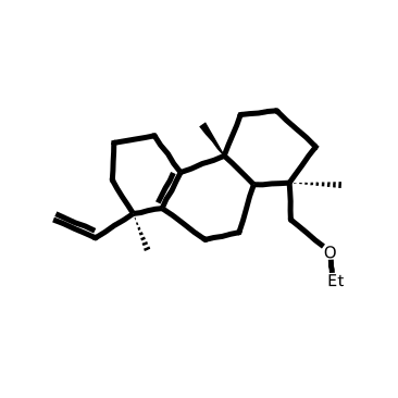 C=C[C@@]1(C)CCCC2=C1CCC1[C@](C)(COCC)CCC[C@@]21C